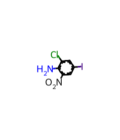 Nc1c(Cl)cc(I)cc1[N+](=O)[O-]